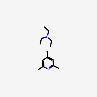 CCN(CC)CC.Cc1cc(C)nc(C)c1